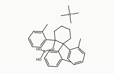 C[N+](C)(C)C.Cc1ccccc1C1(OB(O)O)CCCCC1(c1ccccc1C)c1ccccc1C